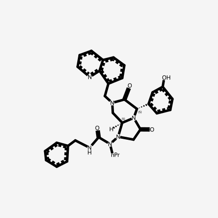 CCCN(C(=O)NCc1ccccc1)N1CC(=O)N2[C@@H](c3cccc(O)c3)C(=O)N(Cc3cccc4cccnc34)C[C@@H]21